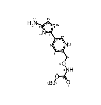 CC(C)(C)OC(=O)NOCc1ccc(-c2nc(N)cs2)cn1